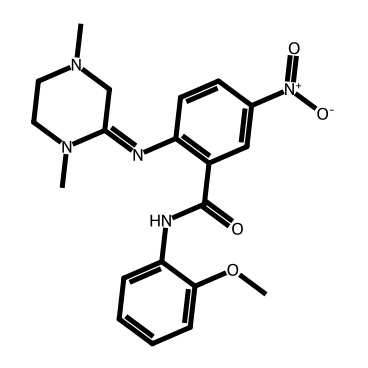 COc1ccccc1NC(=O)c1cc([N+](=O)[O-])ccc1/N=C1\CN(C)CCN1C